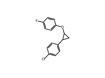 Fc1ccc(OC2C[C]2c2ccc(Cl)cc2)cc1